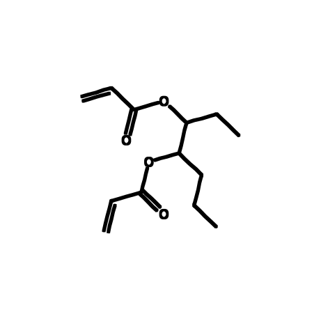 C=CC(=O)OC(CC)C(CCC)OC(=O)C=C